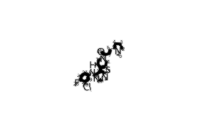 CN1CCC[C@H]1C=CC(=O)N1CCc2c(sc3ncnc(Nc4ccc(F)c(Cl)c4)c23)C1